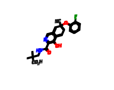 CC(C)(CNC(=O)c1ncc2c(c1O)=CCC(C#N)(Oc1ccccc1F)C=2)C(=O)O